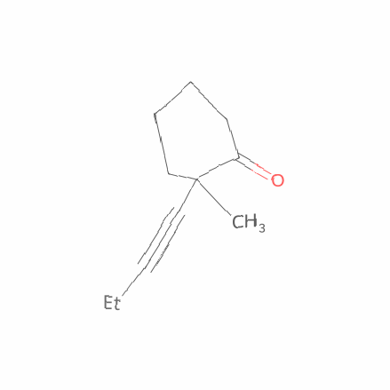 CCC#CC1(C)CCCCC1=O